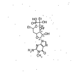 CCC(CC1O[C@@H](n2cnc3c(=O)n(C)c(N)nc32)[C@H](O)[C@@H]1O)OP(=O)(O)C(C)(O)CC